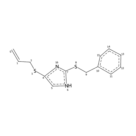 C=CCSc1c[nH]c(SCc2ccccc2)n1